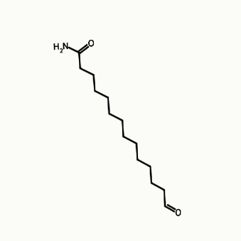 NC(=O)CCCCCCCCCCCCC=O